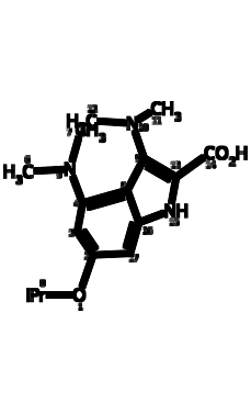 CC(C)Oc1cc(N(C)C)c2c(N(C)C)c(C(=O)O)[nH]c2c1